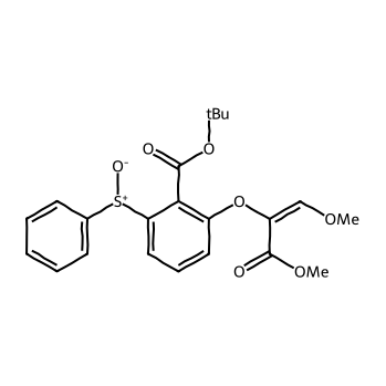 COC=C(Oc1cccc([S+]([O-])c2ccccc2)c1C(=O)OC(C)(C)C)C(=O)OC